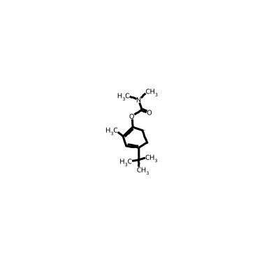 CC1=C(OC(=O)N(C)C)[CH]CC(C(C)(C)C)=C1